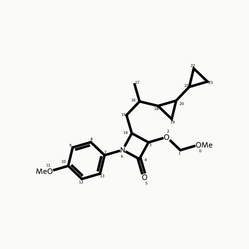 COCOC1C(=O)N(c2ccc(OC)cc2)C1CC(C)C1CC1C1CC1